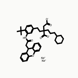 CC(C)(C)c1ccc(CCC(CCCC2CCCCC2)(CC(=O)[O-])C(=O)[O-])cc1NC(=O)CC1c2ccccc2Oc2ccccc21.[Na+].[Na+]